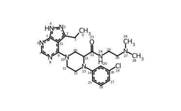 CCc1n[nH]c2ncnc(N3CCN(c4cccc(Cl)c4)C(C(=O)NCCN(C)C)C3)c12